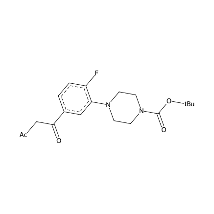 CC(=O)CC(=O)c1ccc(F)c(N2CCN(C(=O)OC(C)(C)C)CC2)c1